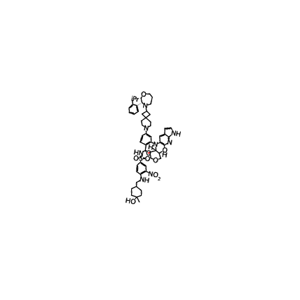 CC(C)c1ccccc1[C@@H]1COCCCN1C1CC2(CCN(c3ccc(C(=O)NS(=O)(=O)c4ccc(NCC5CCC(C)(O)CC5)c([N+](=O)[O-])c4)c(N4c5cc6cc[nH]c6nc5O[C@H]5COCC[C@@H]54)c3)CC2)C1